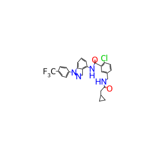 O=C(CC1CC1)NCc1ccc(Cl)c(C(=O)Nc2cccc3c2cnn3-c2ccc(C(F)(F)F)cc2)c1